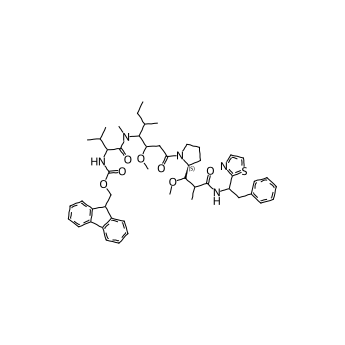 CCC(C)C(C(CC(=O)N1CCC[C@H]1C(OC)C(C)C(=O)NC(Cc1ccccc1)c1nccs1)OC)N(C)C(=O)C(NC(=O)OCC1c2ccccc2-c2ccccc21)C(C)C